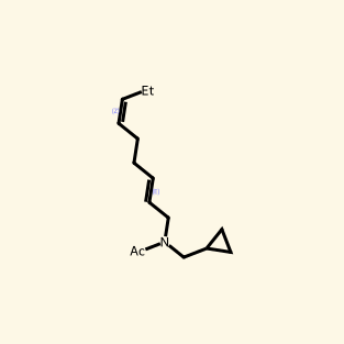 CC/C=C\CC/C=C/CN(CC1CC1)C(C)=O